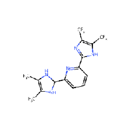 FC(F)(F)C1=C(C(F)(F)F)NC(c2cccc(-c3nc(C(F)(F)F)c(C(F)(F)F)[nH]3)n2)N1